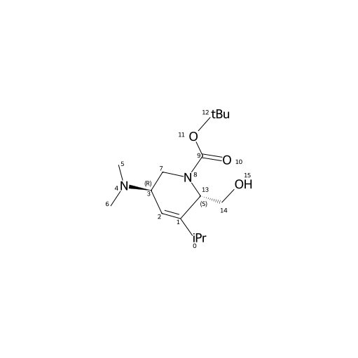 CC(C)C1=C[C@@H](N(C)C)CN(C(=O)OC(C)(C)C)[C@@H]1CO